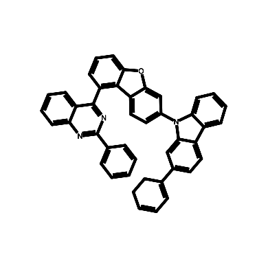 C1=CCCC(c2ccc3c4ccccc4n(-c4ccc5c(c4)oc4cccc(-c6nc(-c7ccccc7)nc7ccccc67)c45)c3c2)=C1